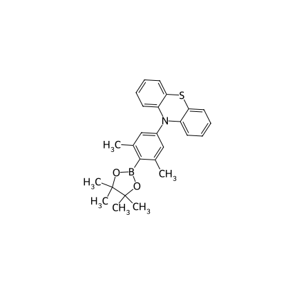 Cc1cc(N2c3ccccc3Sc3ccccc32)cc(C)c1B1OC(C)(C)C(C)(C)O1